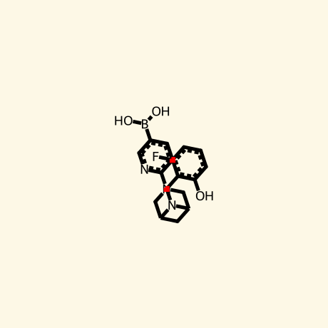 OB(O)c1ccc(N2CC3CC(C2)N3Cc2c(O)cccc2F)nc1